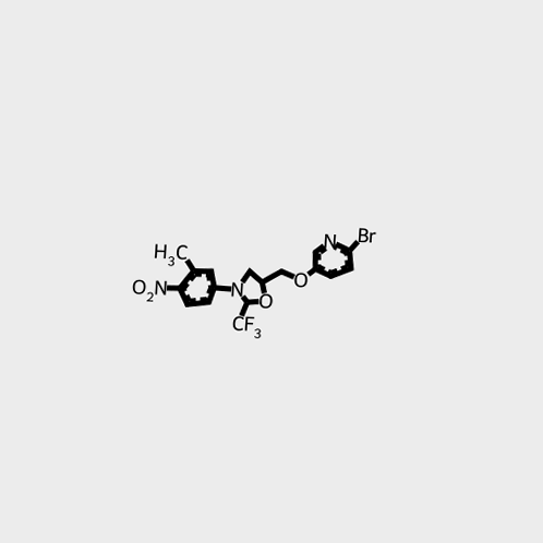 Cc1cc(N2CC(COc3ccc(Br)nc3)OC2C(F)(F)F)ccc1[N+](=O)[O-]